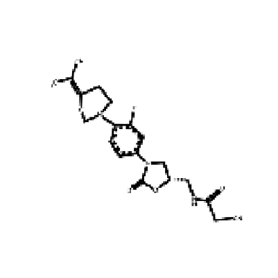 CC(C#N)=C1CCN(c2ccc(N3C[C@H](CNC(=O)CC#N)OC3=O)cc2F)CC1